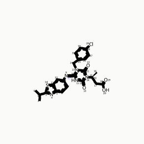 CC(C)c1nc2ccc(/N=c3\[nH]c(=O)n([C@@H](C)CC(=O)O)c(=O)n3Cc3ccc(Cl)cc3)cc2s1